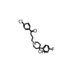 O=C(CCCN1CCC(O)(c2ccc(F)cc2)CC1)c1ccc(Cl)cc1